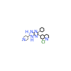 CN1CCC(CNc2nc(-c3cc(Cl)c4ncccc4c3)c(-c3ccccc3)nc2N)CC1